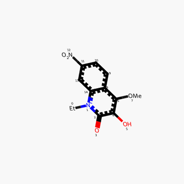 CCn1c(=O)c(O)c(OC)c2ccc([N+](=O)[O-])cc21